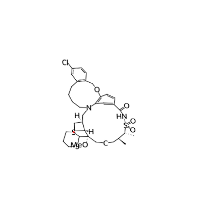 CO[C@@]1(C2SCCCS2)CCC[C@H](C)[C@@H](C)S(=O)(=O)NC(=O)c2ccc3c(c2)N(CCCCc2cc(Cl)ccc2CO3)C[C@@H]2CC[C@H]21